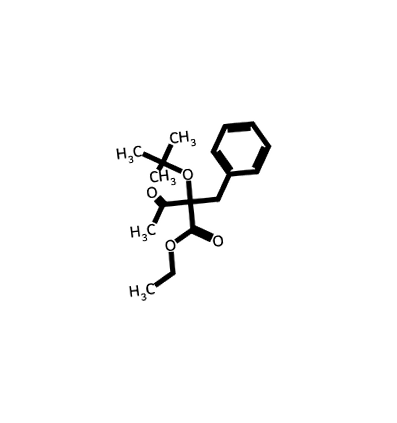 CCOC(=O)C(Cc1ccccc1)(OC(C)(C)C)C(C)=O